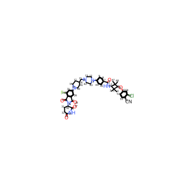 CC1(C)[C@H](NC(=O)c2ccc(N3CCN(CC4CCN(c5cc(F)c6c(c5)C(=O)N(C5CCC(=O)NC5=O)C6=O)CC4)CC3)cc2)C(C)(C)[C@H]1Oc1ccc(C#N)c(Cl)c1